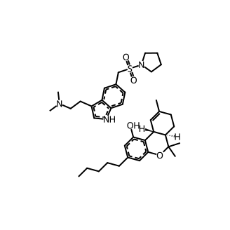 CCCCCc1cc(O)c2c(c1)OC(C)(C)[C@@H]1CCC(C)=C[C@@H]21.CN(C)CCc1c[nH]c2ccc(CS(=O)(=O)N3CCCC3)cc12